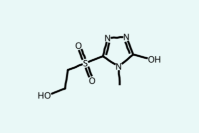 Cn1c(O)nnc1S(=O)(=O)CCO